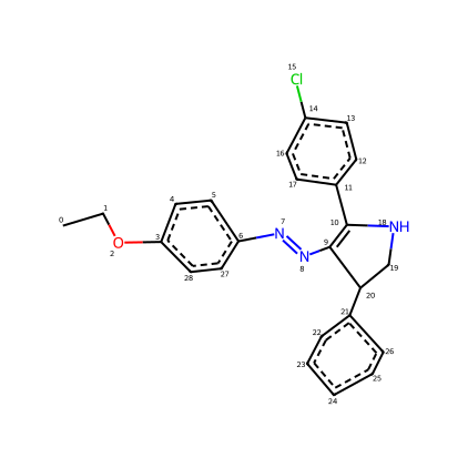 CCOc1ccc(N=NC2=C(c3ccc(Cl)cc3)NCC2c2ccccc2)cc1